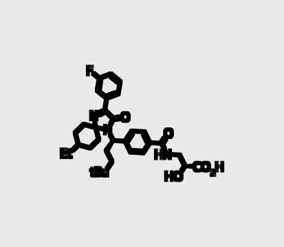 CCC1CCC2(CC1)N=C(c1cccc(F)c1)C(=O)N2[C@H](CCC(C)(C)C)c1ccc(C(=O)NC[C@H](O)C(=O)O)cc1